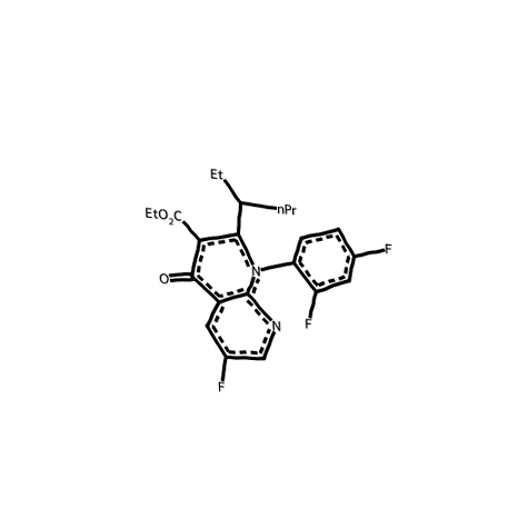 CCCC(CC)c1c(C(=O)OCC)c(=O)c2cc(F)cnc2n1-c1ccc(F)cc1F